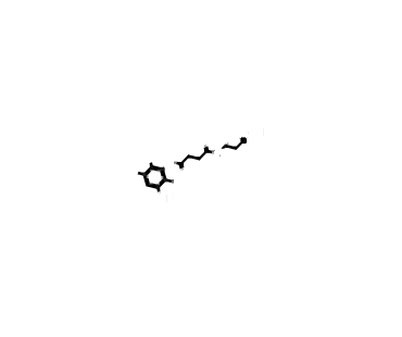 Cc1cc(F)c(F)c(OC(=O)CCC(=O)NCCC(C)(C)C)c1F